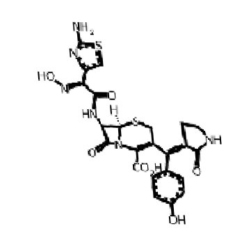 Nc1nc(C(=NO)C(=O)N[C@@H]2C(=O)N3C(C(=O)O)=C(C(=C4CCNC4=O)c4ccc(O)cc4)CS[C@H]23)cs1